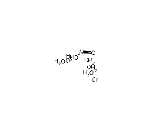 O.O.O.O.O.O=NO.[Cr]